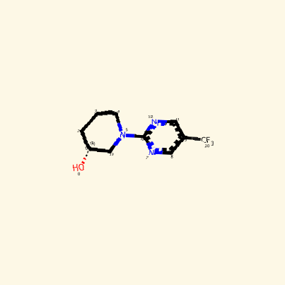 O[C@@H]1CCCN(c2ncc(C(F)(F)F)cn2)C1